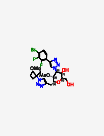 COCC1(n2cc(C[C@H]3O[C@H](CO)[C@H](O)[C@H](n4cc(-c5ccc(Br)c(F)c5F)nn4)[C@H]3OC)nn2)CCC1